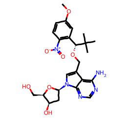 COc1ccc([N+](=O)[O-])c([C@@H](OCc2cn([C@H]3C[C@@H](O)[C@@H](CO)O3)c3ncnc(N)c23)C(C)(C)C)c1